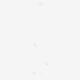 COC(=O)c1ccc(/C=C2\SC(=S)N(CCC(=O)N3CCCC3C(=O)O)C2=O)cc1